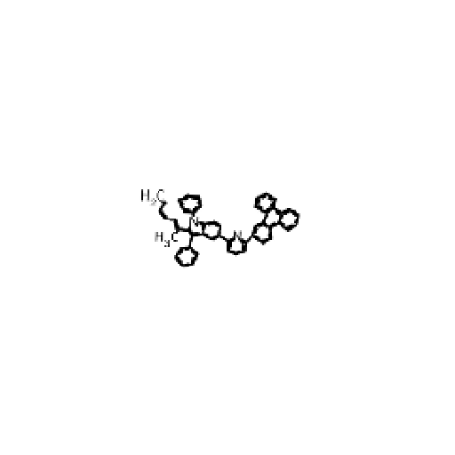 C=C/C=C\C=C(/C)c1c(-c2ccccc2)c2cc(-c3cccc(-c4ccc5c6ccccc6c6ccccc6c5c4)n3)ccc2n1-c1ccccc1